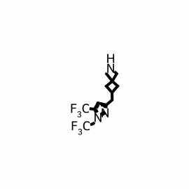 FC(F)(F)Cn1nc(CC2CC3(CNC3)C2)cc1C(F)(F)F